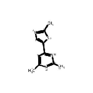 Cc1cc(-c2cnc(C)s2)nc(C)n1